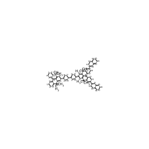 CC1(C)c2ccccc2N2c3ccccc3C(C)(C)c3cc(-c4ccc(-c5ccc(-c6cc7c8c(c6)C(C)(C)c6cc(-c9ccc%10ccccc%10c9)ccc6N8c6ccc(-c8ccc9ccccc9c8)cc6C7(C)C)cc5)cc4)cc1c32